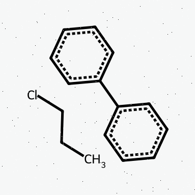 CCCCl.c1ccc(-c2ccccc2)cc1